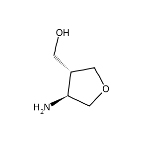 N[C@@H]1COC[C@H]1CO